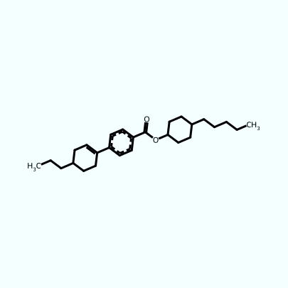 CCCCCC1CCC(OC(=O)c2ccc(C3=CCC(CCC)CC3)cc2)CC1